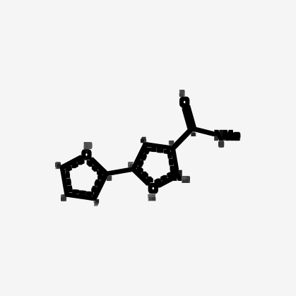 CNC(=O)c1cc(-c2ccco2)on1